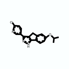 CC(C)Oc1ccc2c(c1)Cc1c(-c3ccc(Cl)nc3)n[nH]c1-2